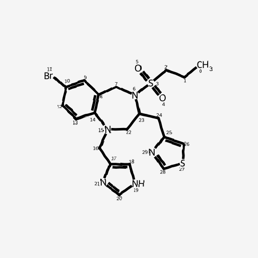 CCCS(=O)(=O)N1Cc2cc(Br)ccc2N(Cc2c[nH]cn2)CC1Cc1cscn1